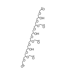 OC(COCC(COCC(O)COCC(COCC1CO1)OCC1CO1)OCC1CO1)COCC(COCC(O)COCC1CO1)OCC1CO1